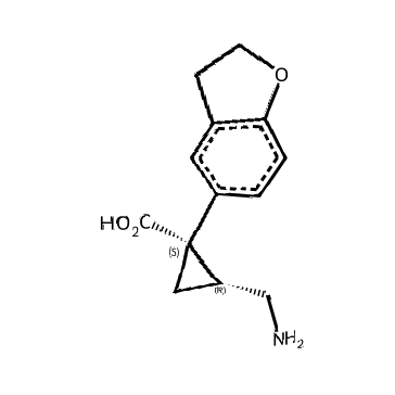 NC[C@@H]1C[C@@]1(C(=O)O)c1ccc2c(c1)CCO2